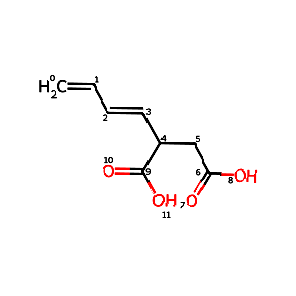 C=CC=CC(CC(=O)O)C(=O)O